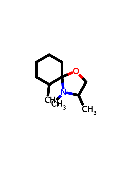 CC1COC2(CCCCC2C)N1C